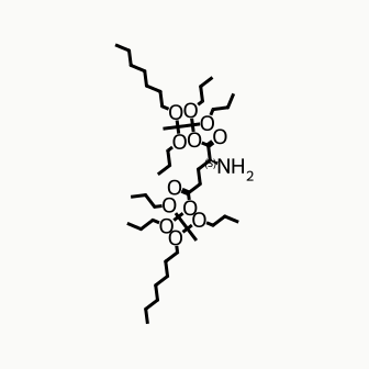 CCCCCCCOC(C)(OCCC)C(OCCC)(OCCC)OC(=O)CC[C@H](N)C(=O)OC(OCCC)(OCCC)C(C)(OCCC)OCCCCCCC